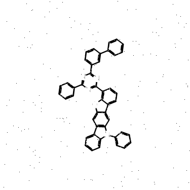 c1ccc(-c2cccc(-c3nc(-c4ccccc4)nc(-c4cccc5c4oc4cc6c7ccccc7n(-c7ccccc7)c6cc45)n3)c2)cc1